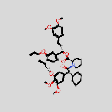 C=CCCOc1cc([C@@H](C(=O)N2CCCC[C@@H]2C(=O)O[C@@H](CCc2ccc(OC)c(OC)c2)c2cccc(OCC=C)c2)C2CCCCC2)cc(OC)c1OC